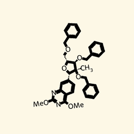 COc1nc(OC)c2ccc([C@@H]3O[C@H](COCc4ccccc4)[C@@H](OCc4ccccc4)[C@@]3(C)OCc3ccccc3)cc2n1